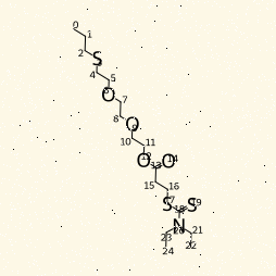 CCCSCCOCCOCCOC(=O)CCSC(=S)N(CC)CC